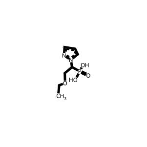 CCOCC(n1cc[c]n1)P(=O)(O)O